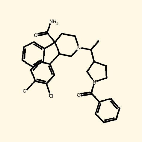 CC(C1CCN(C(=O)c2ccccc2)C1)N1CCC(C(N)=O)(c2ccccc2)C(c2ccc(Cl)c(Cl)c2)C1